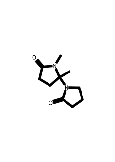 CN1C(=O)CCC1(C)N1CCCC1=O